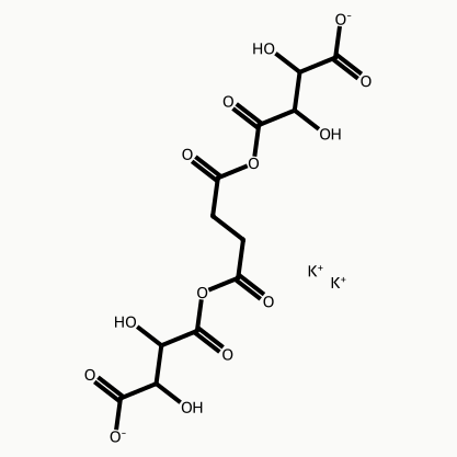 O=C(CCC(=O)OC(=O)C(O)C(O)C(=O)[O-])OC(=O)C(O)C(O)C(=O)[O-].[K+].[K+]